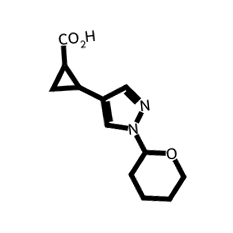 O=C(O)C1CC1c1cnn(C2CCCCO2)c1